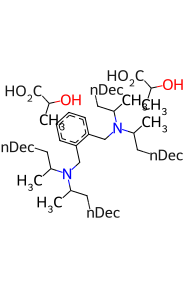 CC(O)C(=O)O.CC(O)C(=O)O.CCCCCCCCCCCC(C)N(Cc1ccccc1CN(C(C)CCCCCCCCCCC)C(C)CCCCCCCCCCC)C(C)CCCCCCCCCCC